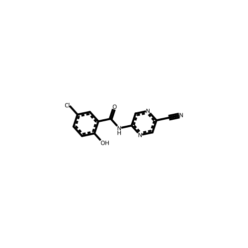 N#Cc1cnc(NC(=O)c2cc(Cl)ccc2O)cn1